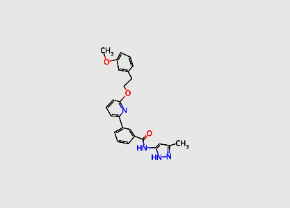 COc1cccc(CCOc2cccc(-c3cccc(C(=O)Nc4cc(C)n[nH]4)c3)n2)c1